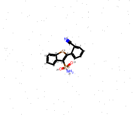 N#Cc1ccccc1-c1sc2ccccc2c1S(N)(=O)=O